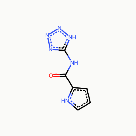 O=C(Nc1nnn[nH]1)c1ccc[nH]1